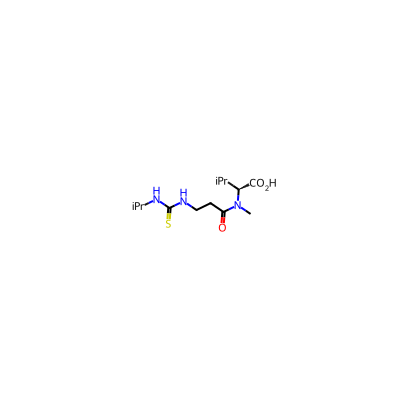 CC(C)NC(=S)NCCC(=O)N(C)[C@H](C(=O)O)C(C)C